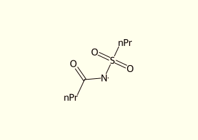 CCCC(=O)[N]S(=O)(=O)CCC